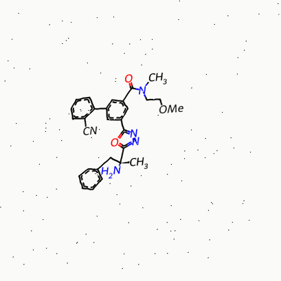 COCCN(C)C(=O)c1cc(-c2nnc([C@](C)(N)Cc3ccccc3)o2)cc(-c2ccccc2C#N)c1